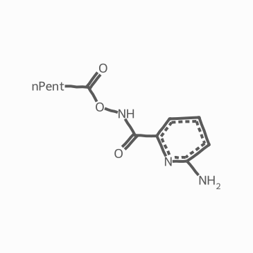 CCCCCC(=O)ONC(=O)c1cccc(N)n1